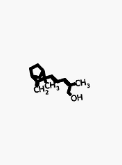 C=C1C2CCC(C2)C1(C)C=CC=C(C)CO